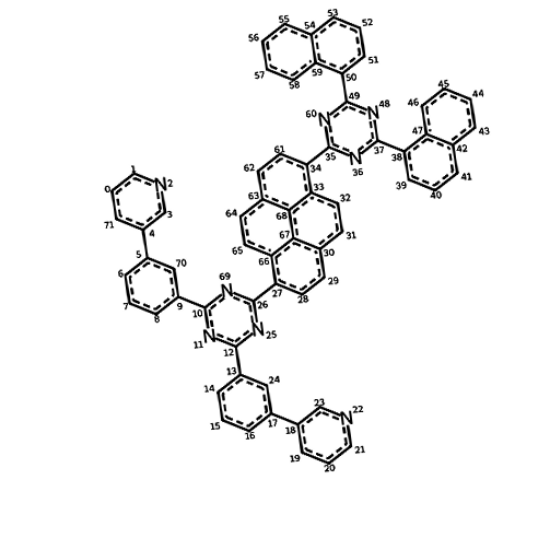 c1cncc(-c2cccc(-c3nc(-c4cccc(-c5cccnc5)c4)nc(-c4ccc5ccc6c(-c7nc(-c8cccc9ccccc89)nc(-c8cccc9ccccc89)n7)ccc7ccc4c5c76)n3)c2)c1